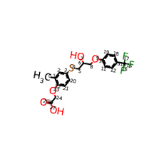 Cc1cc(SCC(O)COc2ccc(C(F)(F)F)cc2)ccc1OCC(=O)O